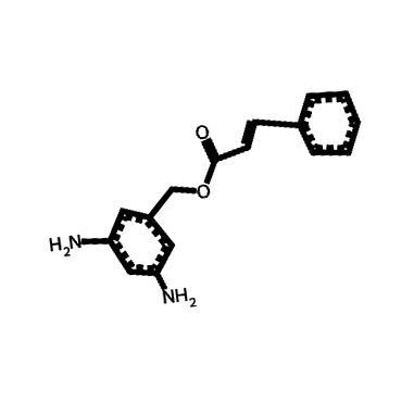 Nc1cc(N)cc(COC(=O)/C=C/c2ccccc2)c1